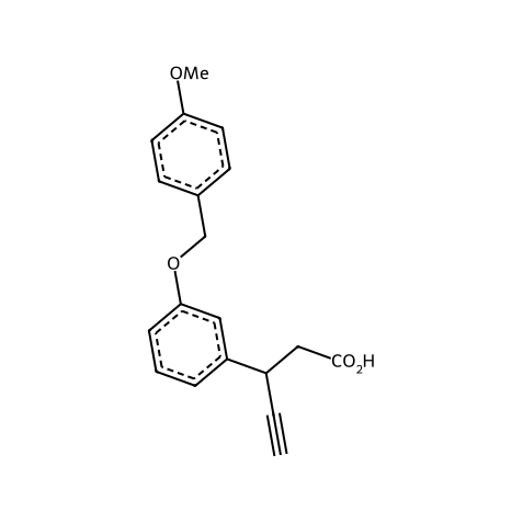 C#CC(CC(=O)O)c1cccc(OCc2ccc(OC)cc2)c1